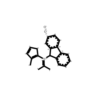 CC1=[C]([Ti+2](=[C](C)C)[CH]2c3ccccc3-c3ccccc32)CC=C1.[Cl-].[Cl-]